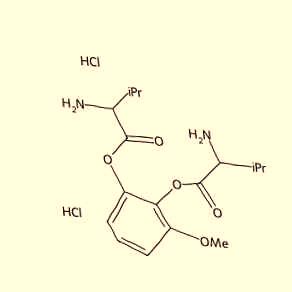 COc1cccc(OC(=O)C(N)C(C)C)c1OC(=O)C(N)C(C)C.Cl.Cl